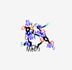 COCCCOC1=c2c(nc(NC(=O)c3cc(C)nn3CCF)n2CCC[C@H]2COc3cc(C(N)=O)cc4nc(NC(=O)c5cc(C)nn5CCF)n2c34)=CC(C(N)=O)C1